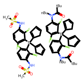 CCCCN(C(=O)C(C)(C)C)c1ccc(F)[c]([Ti]([C]2=CC=CC2)([C]2=CC=CC2)[c]2c(F)ccc(N(CCCC)C(=O)C(C)(C)C)c2F)c1F.CS(=O)(=O)Nc1ccc(F)[c]([Ti]([C]2=CC=CC2)([C]2=CC=CC2)[c]2c(F)ccc(NS(C)(=O)=O)c2F)c1F